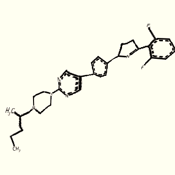 CCCC(C)N1CCN(c2ncc(-c3ccc(C4CCC(c5c(F)cccc5F)=N4)cc3)cn2)CC1